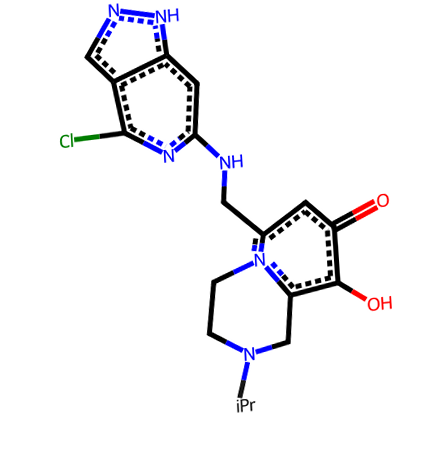 CC(C)N1CCn2c(CNc3cc4[nH]ncc4c(Cl)n3)cc(=O)c(O)c2C1